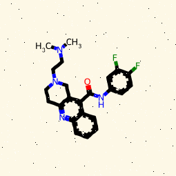 CN(C)CCN1CCc2nc3ccccc3c(C(=O)Nc3ccc(F)c(F)c3)c2C1